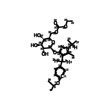 [2H]C([2H])(c1ccc(OC(C)C)cc1)c1c(O[C@@H]2O[C@H](COC(=O)OCC)[C@@H](O)[C@H](O)[C@H]2O)nn(C([2H])(C)C)c1C